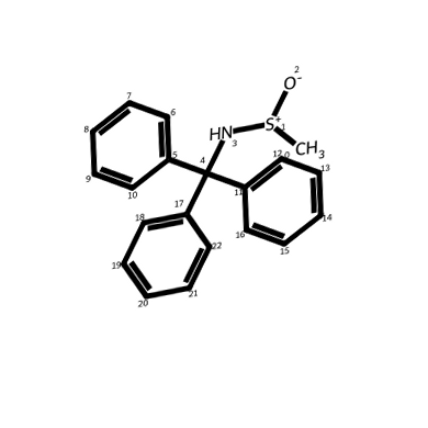 C[S+]([O-])NC(c1ccccc1)(c1ccccc1)c1ccccc1